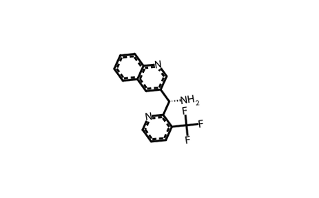 N[C@@H](c1cnc2ccccc2c1)c1ncccc1C(F)(F)F